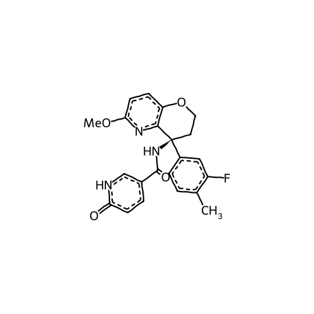 COc1ccc2c(n1)[C@@](NC(=O)c1ccc(=O)[nH]c1)(c1ccc(C)c(F)c1)CCO2